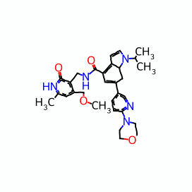 COCc1cc(C)[nH]c(=O)c1CNC(=O)C1=C2C=CN(C(C)C)C2CC(c2ccc(N3CCOCC3)nc2)=C1